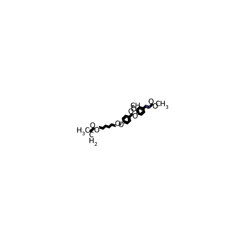 C=C(C)C(=O)OCCCCCCOOc1ccc(C(=O)Oc2ccc(/C=C/C(=O)OC)cc2OC)cc1